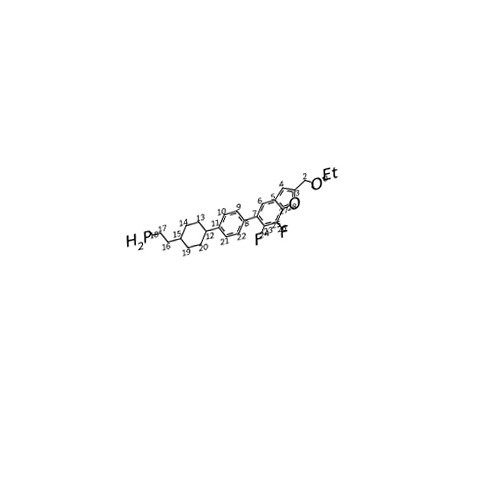 CCOCc1cc2cc(-c3ccc(C4CCC(CCP)CC4)cc3)c(F)c(F)c2o1